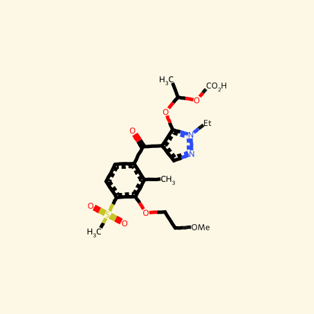 CCn1ncc(C(=O)c2ccc(S(C)(=O)=O)c(OCCOC)c2C)c1OC(C)OC(=O)O